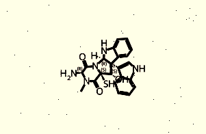 CN1C(=O)[C@@]2(S)[C@@H](O)[C@]3(c4c[nH]c5ccccc45)c4ccccc4N[C@@H]3N2C(=O)[C@@H]1N